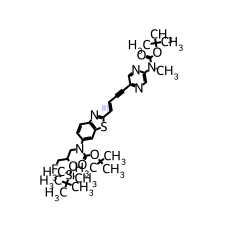 CN(C(=O)OC(C)(C)C)c1cnc(C#C/C=C/c2nc3ccc(N(CC(CF)O[Si](C)(C)C(C)(C)C)C(=O)OC(C)(C)C)cc3s2)cn1